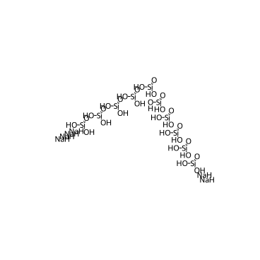 O=[Si](O)O.O=[Si](O)O.O=[Si](O)O.O=[Si](O)O.O=[Si](O)O.O=[Si](O)O.O=[Si](O)O.O=[Si](O)O.O=[Si](O)O.O=[Si](O)O.[NaH].[NaH].[NaH].[NaH].[NaH].[NaH]